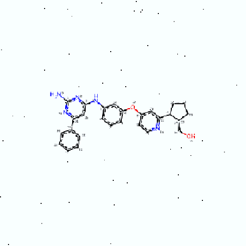 Nc1nc(Nc2cccc(Oc3ccnc(C4CCC[C@H]4CO)c3)c2)cc(-c2ccccc2)n1